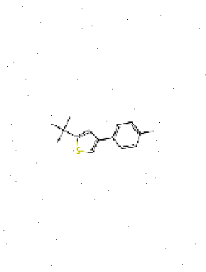 Cc1ccc(-c2csc(C(C)(C)C)c2)cc1